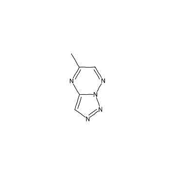 Cc1cnn2nncc2n1